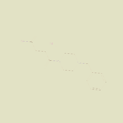 NC(=O)C[C@H](N)C(=O)N1CCN(Cc2ccccc2)CC1